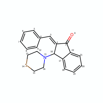 O=C1/C(=C/c2ccccc2)C(N2CCSCC2)c2ccccc21